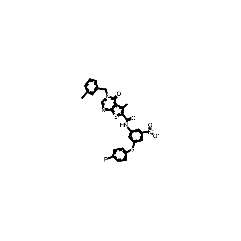 Cc1cccc(Cn2cnc3sc(C(=O)Nc4cc(Sc5ccc(F)cc5)cc([N+](=O)[O-])c4)c(C)c3c2=O)c1